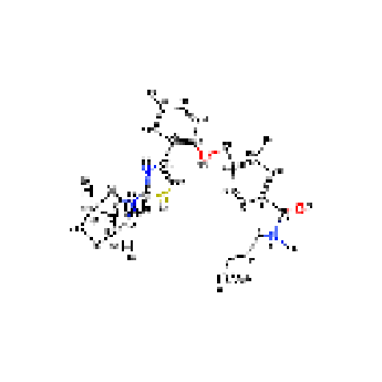 COCCCN(C)C(=O)c1ccc(COc2ccc(C)cc2-c2csc(N3C[C@H]4CC[C@@H](C3)[C@H]4C(=O)O)n2)c(C)c1